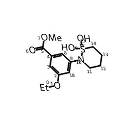 CCOc1cc(C(=O)OC)cc(N2CCCCS2(O)O)c1